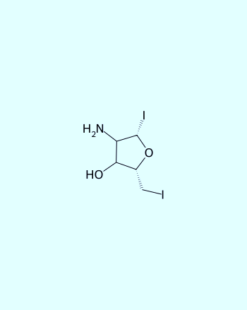 NC1C(O)[C@@H](CI)O[C@H]1I